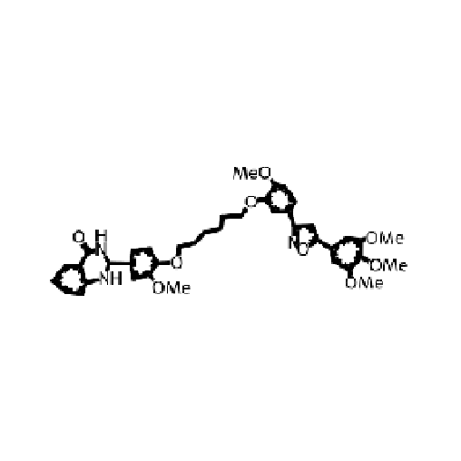 COc1cc(C2NC(=O)c3ccccc3N2)ccc1OCCCCCCOc1cc(-c2cc(-c3cc(OC)c(OC)c(OC)c3)on2)ccc1OC